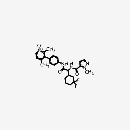 Cc1cc[n+]([O-])c(C)c1-c1ccc(NC(=O)C(NC(=O)c2ccnn2C)C2CCCC(F)(F)C2)cc1